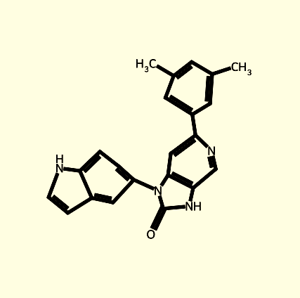 Cc1cc(C)cc(-c2cc3c(cn2)[nH]c(=O)n3-c2ccc3[nH]ccc3c2)c1